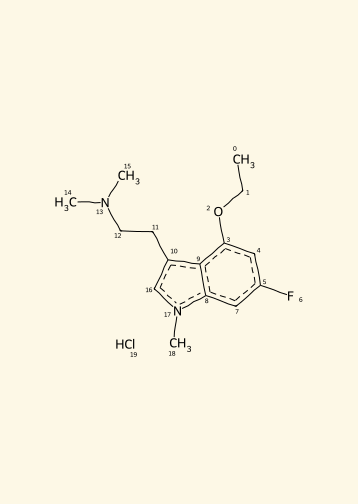 CCOc1cc(F)cc2c1c(CCN(C)C)cn2C.Cl